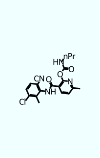 CCCNC(=O)Oc1nc(C)ccc1C(=O)Nc1c(C#N)ccc(Cl)c1C